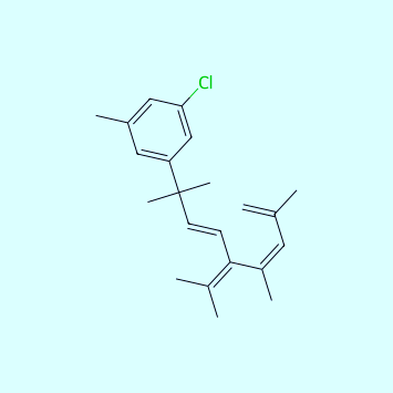 C=C(C)/C=C(/C)C(/C=C/C(C)(C)c1cc(C)cc(Cl)c1)=C(C)C